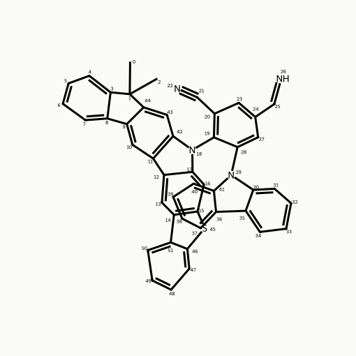 CC1(C)c2ccccc2-c2cc3c4cc5c(cc4n(-c4c(C#N)cc(C=N)cc4-n4c6ccccc6c6ccccc64)c3cc21)sc1ccccc15